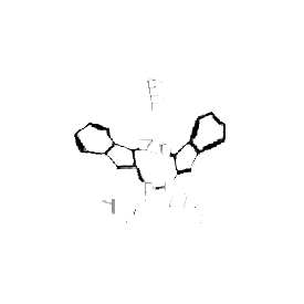 CP1C2=Cc3ccccc3[CH]2[Zr+2][CH]2C3C=CC=CC3CC2P1C.[F-].[F-]